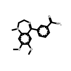 COc1cc2c(cc1OC)N(C)CCN=C2c1cccc(C(N)=O)c1